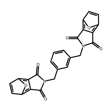 O=C1c2c(c3ccc2o3)C(=O)N1Cc1cccc(CN2C(=O)c3c(c4ccc3o4)C2=O)c1